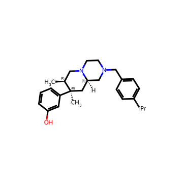 CC(C)c1ccc(CN2CCN3C[C@H](C)[C@](C)(c4cccc(O)c4)C[C@@H]3C2)cc1